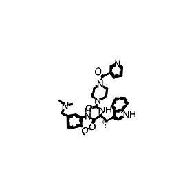 COc1ccc(CN(C)C)cc1NC(=O)[C@H](NC(=O)N1CCN(C(=O)c2cccnc2)CC1)[C@@H](C)c1c[nH]c2ccccc12